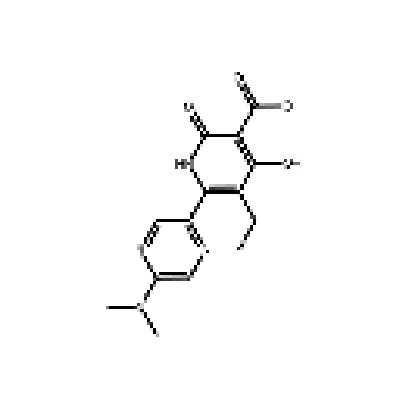 CCc1c(-c2cnc(N(C)C)cn2)[nH]c(=O)c(C(=O)O)c1O